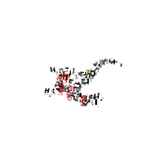 C=C(C)C(=O)OCCCc1cc(-c2ccc(-c3ccc(C4CCC(CCCCC)CC4)cc3F)c(CC)c2)cc(CCCOC(=O)C(=C)C)c1OCC(COC(=O)C(=C)C)(COC(=O)C(=C)C)COC(=O)C(=O)OC